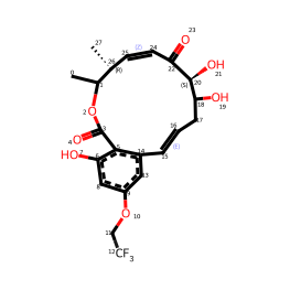 CC1OC(=O)c2c(O)cc(OCC(F)(F)F)cc2/C=C/CC(O)[C@H](O)C(=O)/C=C\[C@H]1C